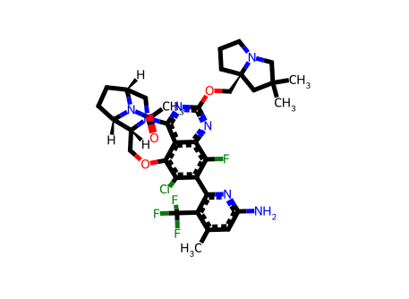 CC(=O)N1[C@@H]2CC[C@H]1[C@H]1COc3c(Cl)c(-c4nc(N)cc(C)c4C(F)(F)F)c(F)c4nc(OC[C@@]56CCCN5CC(C)(C)C6)nc(c34)N1C2